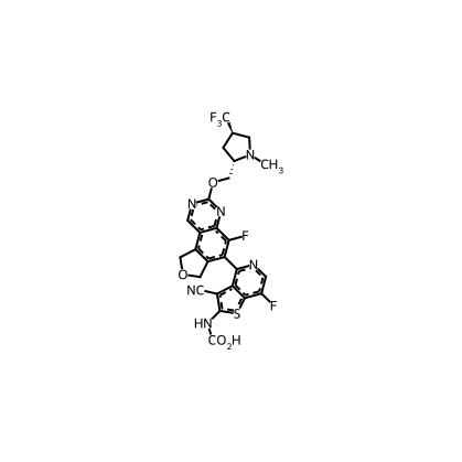 CN1C[C@H](C(F)(F)F)C[C@H]1COc1ncc2c3c(c(-c4ncc(F)c5sc(NC(=O)O)c(C#N)c45)c(F)c2n1)COC3